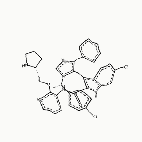 C[C@@H](c1ccc(Cl)cc1)n1cnc(-c2ccccc2)c1-c1c(C(=O)Nc2cccnc2OC[C@H]2CCCN2)[nH]c2cc(Cl)ccc12